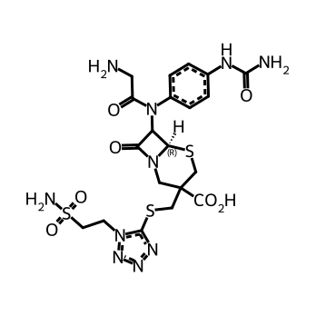 NCC(=O)N(c1ccc(NC(N)=O)cc1)C1C(=O)N2CC(CSc3nnnn3CCS(N)(=O)=O)(C(=O)O)CS[C@H]12